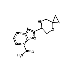 NC(=O)c1cccc2nc(C3COC4(CC4)CN3)oc12